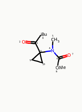 CCC(C)C(=O)C1(N(C)C(=O)OC)CC1